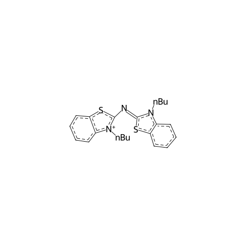 CCCCn1/c(=N/c2sc3ccccc3[n+]2CCCC)sc2ccccc21